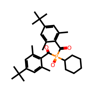 Cc1cc(C(C)(C)C)cc(C)c1C(=O)P(=O)(C(=O)c1c(C)cc(C(C)(C)C)cc1C)C1CCCCC1